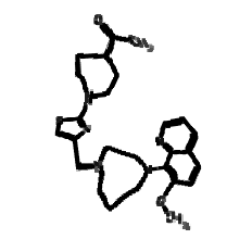 COc1ccc2cccnc2c1N1CCCN(Cc2csc(N3CCC(C(C)=O)CC3)n2)CC1